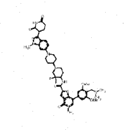 COc1cc(-c2cn(C)c(=O)c3cc(C(=O)NC4CCN(C5CCN(c6ccc7c(C8CCC(=O)NC8=O)nn(C)c7c6)CC5)CC4(F)F)sc23)cc(OC)c1CN(C)C